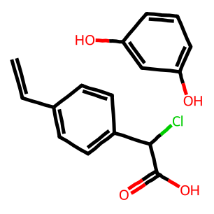 C=Cc1ccc(C(Cl)C(=O)O)cc1.Oc1cccc(O)c1